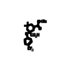 CC1(C)CN(C(=O)OC(C)(C)C)CC(Oc2ccc(C(F)(F)F)cc2)(C(=O)O)C1